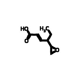 CCC(C=CC(=O)O)C1CO1